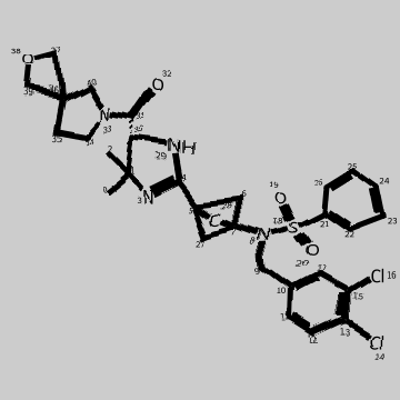 CC1(C)N=C(C23CC(N(Cc4ccc(Cl)c(Cl)c4)S(=O)(=O)c4ccccc4)(C2)C3)N[C@H]1C(=O)N1CCC2(COC2)C1